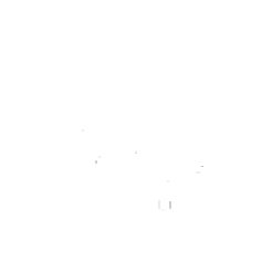 CCC1(COC(=O)C(C)(C=C(C)C)C(C)(C)C)COC1